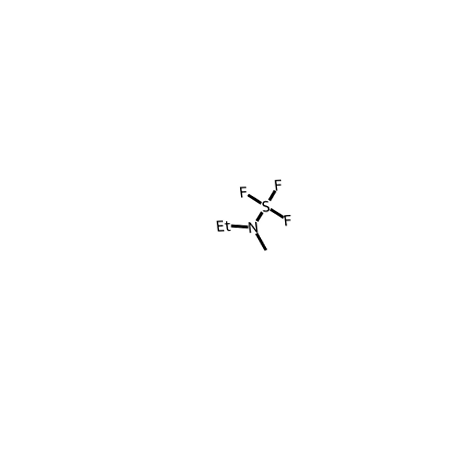 CCN(C)S(F)(F)F